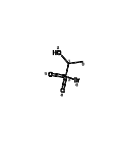 CC(O)S(=O)(=O)Br